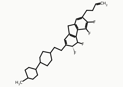 C=CCCc1cc2c(c(F)c1F)C1=C(C=C(CCC3CCC(C4CCC(C)CC4)CC3)[C@@H](F)C1F)C2